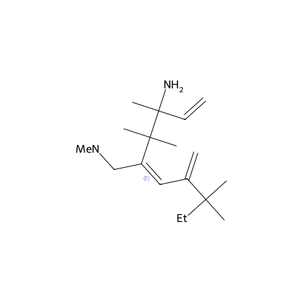 C=CC(C)(N)C(C)(C)/C(=C\C(=C)C(C)(C)CC)CNC